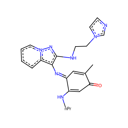 CCCNC1=CC(=O)C(C)=C/C1=N\c1c(NCCn2ccnc2)nn2ccccc12